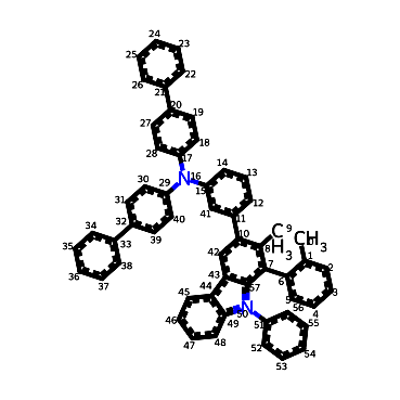 Cc1ccccc1-c1c(C)c(-c2cccc(N(c3ccc(-c4ccccc4)cc3)c3ccc(-c4ccccc4)cc3)c2)cc2c3ccccc3n(-c3ccccc3)c12